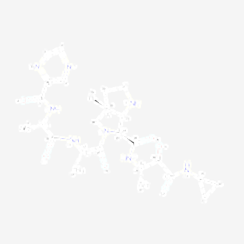 CCC[C@H](NC(=O)c1cnccn1)C(=O)N[C@H](C(=O)N1C[C@@H]2CCNC2[C@H]1C(=O)N[C@@H](CCC)C(=O)C(=O)NC1CC1)C(C)(C)C